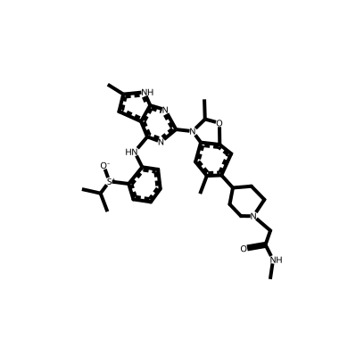 CNC(=O)CN1CCC(c2cc3c(cc2C)N(c2nc(Nc4ccccc4[S+]([O-])C(C)C)c4cc(C)[nH]c4n2)C(C)O3)CC1